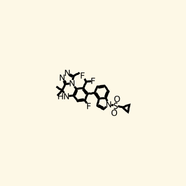 Cc1nnc2n1-c1c(cc(F)c(-c3cccc4c3ccn4S(=O)(=O)C3CC3)c1C(F)F)NC2(C)C